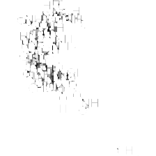 CCCCCCCCCCCCCCCC(=O)NCCOCCOCC(=O)N[C@@H](CO)C(=O)NC(Cc1ccc(O)cc1)C(=O)N[C@@H](CO)C(=O)N[C@@H](CCCC)C(=O)N[C@@H](CCC(=O)O)C(=O)N[C@H](Cc1cccnc1)C(=O)N[C@H](Cc1ccccc1)C(=O)N[C@@H](CCCNC(=N)N)C(=O)N[C@@H](Cc1c[nH]c2ccccc12)C(=O)NCC(=O)N[C@@H](CCCCN)C(=O)N1CCC[C@H]1C(=O)N[C@H](C(N)=O)C(C)C